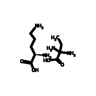 CCC(N)(N)C(=O)O.NCCC[C@H](N)C(=O)O